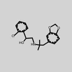 CC(C)(Cc1ccc2c(c1)OCO2)NCC(O)c1ccccc1Cl